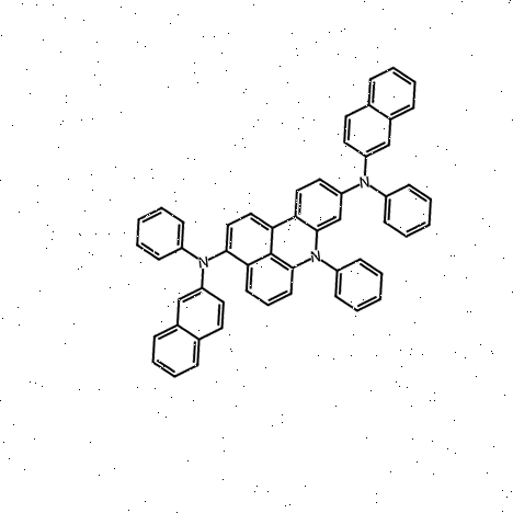 c1ccc(N(c2ccc3c(c2)N(c2ccccc2)c2cccc4c(N(c5ccccc5)c5ccc6ccccc6c5)ccc-3c24)c2ccc3ccccc3c2)cc1